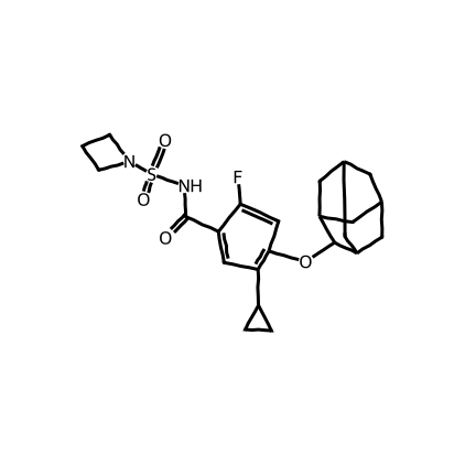 O=C(NS(=O)(=O)N1CCC1)c1cc(C2CC2)c(OC2C3CC4CC(C3)CC2C4)cc1F